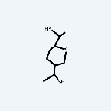 CC(S)C1CCC(C(C)S)SC1